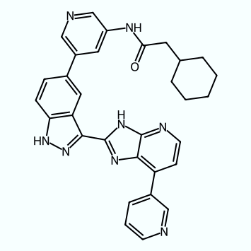 O=C(CC1CCCCC1)Nc1cncc(-c2ccc3[nH]nc(-c4nc5c(-c6cccnc6)ccnc5[nH]4)c3c2)c1